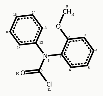 COc1ccccc1N(C(=O)Cl)c1ccccc1